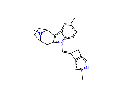 Cc1ccc2c(c1)c1c(n2/C=C2\Cc3cnc(C)cc32)CC2CCC1N2C